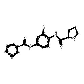 O=C(Nc1ccc(NC(=O)C2CCCO2)c(Cl)c1)c1ccccc1